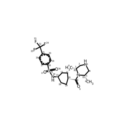 C[C@@H]1CNC[C@H](C)N1C(=O)[C@H]1CC[C@H](NS(=O)(=O)c2ccc(C(F)(F)F)cc2)CC1